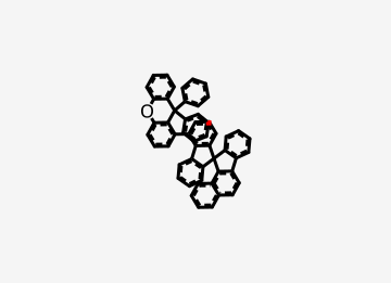 c1ccc(C2(c3ccccc3)c3ccccc3Oc3cccc(-c4cccc5c4-c4ccccc4C54c5ccccc5-c5ccc6ccccc6c54)c32)cc1